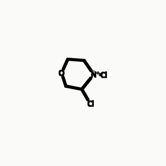 ClC1COCC[N+]1Cl